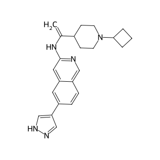 C=C(Nc1cc2cc(-c3cn[nH]c3)ccc2cn1)C1CCN(C2CCC2)CC1